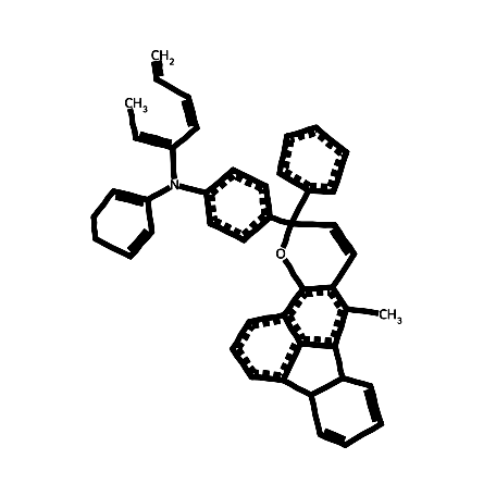 C=C/C=C\C(=C/C)N(C1=CCCC=C1)c1ccc(C2(c3ccccc3)C=Cc3c(C)c4c5c(cccc5c3O2)C2C=CC=CC42)cc1